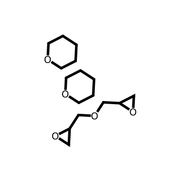 C(OCC1CO1)C1CO1.C1CCOCC1.C1CCOCC1